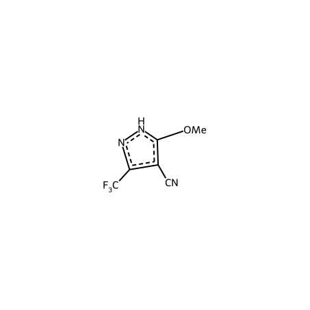 COc1[nH]nc(C(F)(F)F)c1C#N